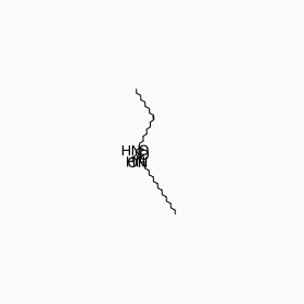 CCCCCCCC/C=C\CCCCCCCC(=O)NC(CO)C(=O)NCCCCCCCCCCCCCCCC